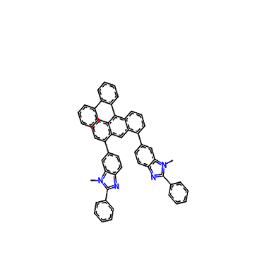 Cn1c(-c2ccccc2)nc2ccc(-c3cccc4c(-c5ccccc5-c5ccccc5)c5cccc(-c6ccc7nc(-c8ccccc8)n(C)c7c6)c5cc34)cc21